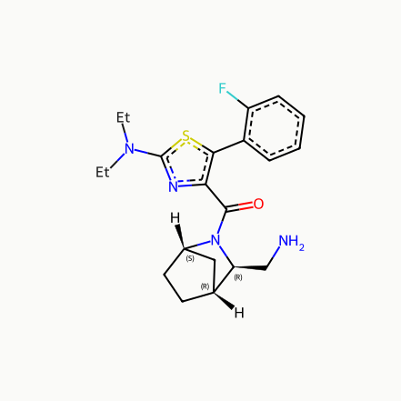 CCN(CC)c1nc(C(=O)N2[C@H]3CC[C@H](C3)[C@@H]2CN)c(-c2ccccc2F)s1